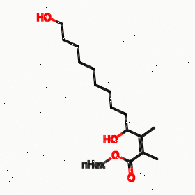 CCCCCCOC(=O)C(C)=C(C)C(O)CCCCCCCCCO